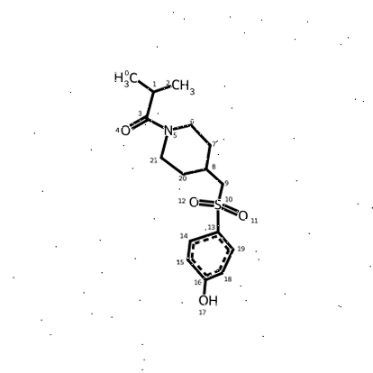 CC(C)C(=O)N1CCC(CS(=O)(=O)c2ccc(O)cc2)CC1